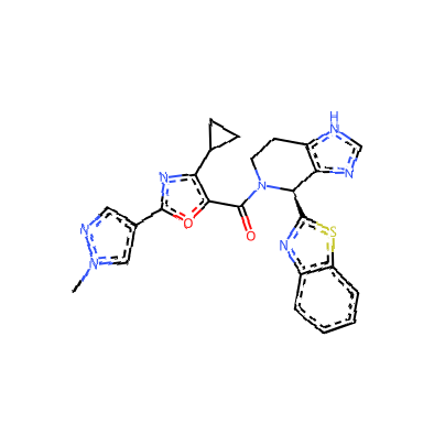 Cn1cc(-c2nc(C3CC3)c(C(=O)N3CCc4[nH]cnc4[C@H]3c3nc4ccccc4s3)o2)cn1